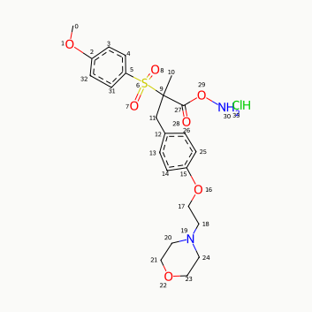 COc1ccc(S(=O)(=O)C(C)(Cc2ccc(OCCN3CCOCC3)cc2)C(=O)ON)cc1.Cl